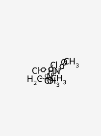 C=CC[C@]1(C)C[C@H](c2cccc(Cl)c2)[C@@H](c2ccc(Cl)cc2)N([C@@H](C)CCNCc2ccc(OC)cc2)C1=O